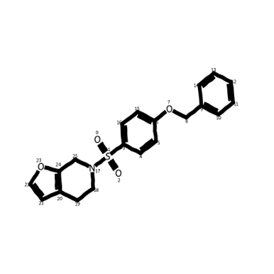 O=S(=O)(c1ccc(OCc2ccccc2)cc1)N1CCc2ccoc2C1